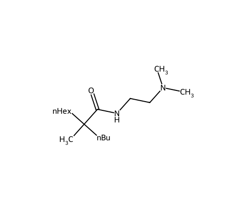 CCCCCCC(C)(CCCC)C(=O)NCCN(C)C